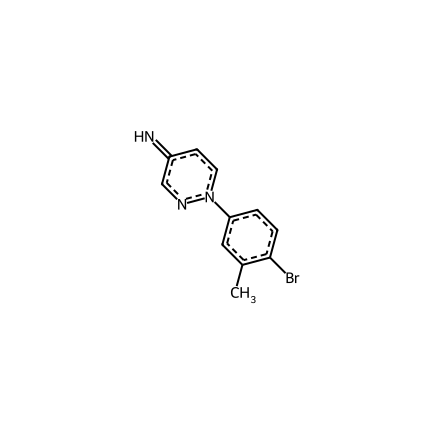 Cc1cc(-n2ccc(=N)cn2)ccc1Br